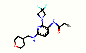 CC(C)(C)CC(=O)Nc1ccc(NCC2CCOCC2)nc1N1CC(F)(F)C1